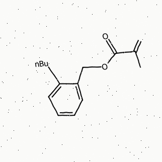 C=C(C)C(=O)OCc1ccccc1CCCC